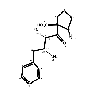 NC1CCCC1(C(=O)O)C(=O)[C@@H](O)[C@H](N)Cc1ccccc1